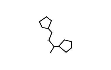 CC([CH]CC1CCCC1)C1CCCC1